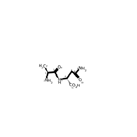 C[C@H](N)C(=O)N[C@H](CC(N)=O)C(=O)O